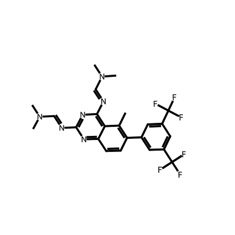 Cc1c(-c2cc(C(F)(F)F)cc(C(F)(F)F)c2)ccc2nc(N=CN(C)C)nc(N=CN(C)C)c12